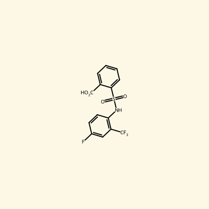 O=C(O)c1ccccc1S(=O)(=O)Nc1ccc(F)cc1C(F)(F)F